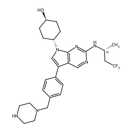 C[C@H](CC(F)(F)F)Nc1ncc2c(-c3ccc(CN4CCNCC4)cc3)cn([C@H]3CC[C@H](O)CC3)c2n1